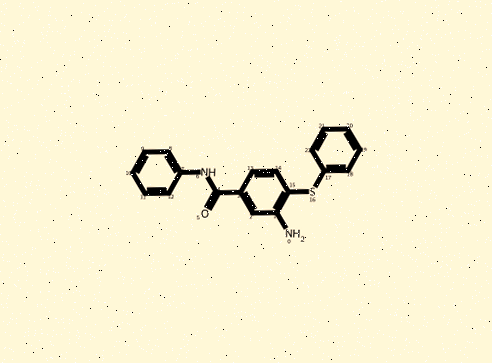 Nc1cc(C(=O)Nc2ccccc2)ccc1Sc1ccccc1